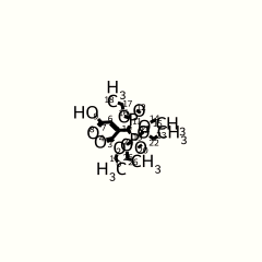 CCOC(=O)C(=CC(=O)O)C(P(=O)(OCC)OCC)P(=O)(OCC)OCC